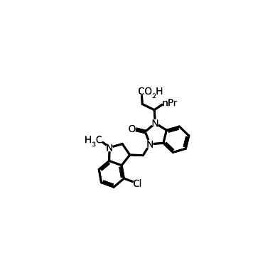 CCCC(CC(=O)O)n1c(=O)n(CC2CN(C)c3cccc(Cl)c32)c2ccccc21